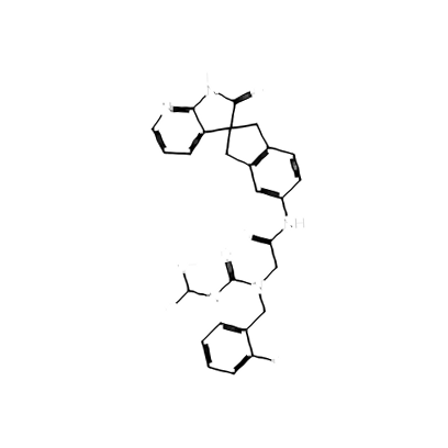 [CH2]c1ccccc1CN(CC(=O)Nc1ccc2c(c1)CC1(C2)C(=O)Nc2ncccc21)C(=O)NC(C)C